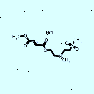 COC(=O)/C=C/C(=O)OCCN(C)CCS(C)(=O)=O.Cl